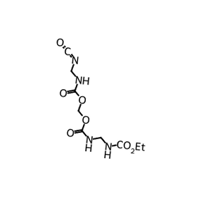 CCOC(=O)NCNC(=O)OCOC(=O)NCN=C=O